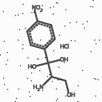 Cl.NC(CO)C(O)(O)c1ccc([N+](=O)[O-])cc1